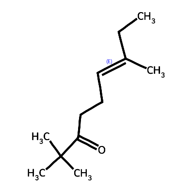 CC/C(C)=C/CCC(=O)C(C)(C)C